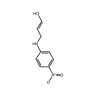 O=[N+]([O-])c1ccc(NCC=CO)cc1